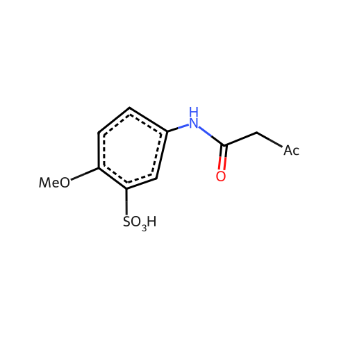 COc1ccc(NC(=O)CC(C)=O)cc1S(=O)(=O)O